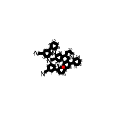 N#Cc1ccc2c(c1)c1ccccc1n2-c1cc(-c2cccnc2-c2ccccc2-c2ccccc2)cc(-n2c3ccccc3c3cc(C#N)ccc32)c1C#N